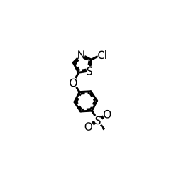 CS(=O)(=O)c1ccc(Oc2cnc(Cl)s2)cc1